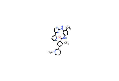 Cc1ccc(NC(=O)c2ccc(C3CCCCN(C)C3)cc2C(F)(F)F)cc1Nc1nccc(-c2cccnc2)n1